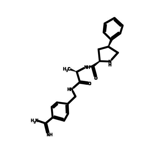 C[C@H](NC(=O)[C@H]1C[C@@H](c2ccccc2)CN1)C(=O)NCc1ccc(C(=N)N)cc1